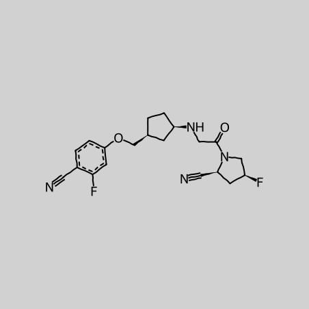 N#Cc1ccc(OC[C@H]2CC[C@@H](NCC(=O)N3C[C@@H](F)C[C@H]3C#N)C2)cc1F